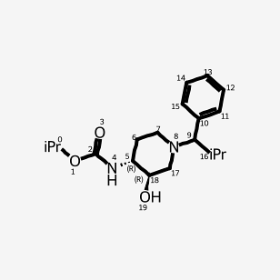 CC(C)OC(=O)N[C@@H]1CCN(C(c2ccccc2)C(C)C)C[C@H]1O